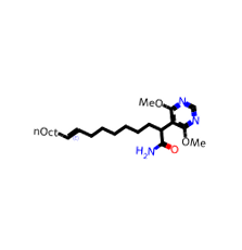 CCCCCCCC/C=C/CCCCCCC(C(N)=O)c1c(OC)ncnc1OC